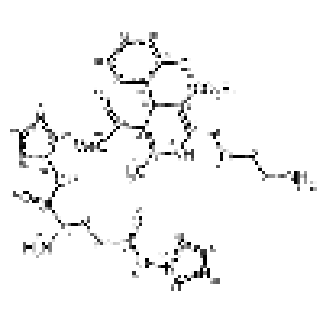 CCOC(=O)C1=C(COCCN)NC(C)=C(C(=O)OC)C1c1ccccc1Cl.N[C@@H](CCC(=O)On1ccnc1)C(=O)On1ccnc1